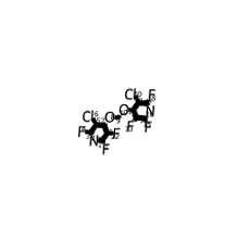 Fc1nc(F)c(Cl)c(OCOc2c(F)c(F)nc(F)c2Cl)c1F